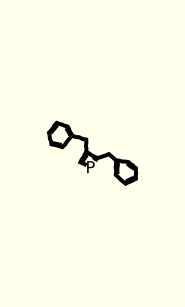 C1=C(Cc2ccccc2)C(Cc2ccccc2)=P1